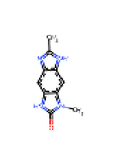 Cc1nc2cc3[nH]c(=O)n(C)c3cc2[nH]1